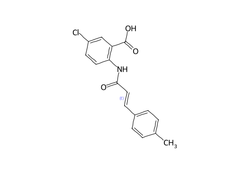 Cc1ccc(/C=C/C(=O)Nc2ccc(Cl)cc2C(=O)O)cc1